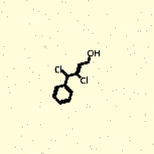 OCC=C(Cl)C(Cl)c1ccccc1